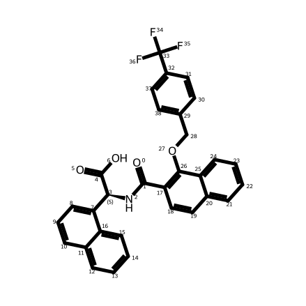 O=C(N[C@H](C(=O)O)c1cccc2ccccc12)c1ccc2ccccc2c1OCc1ccc(C(F)(F)F)cc1